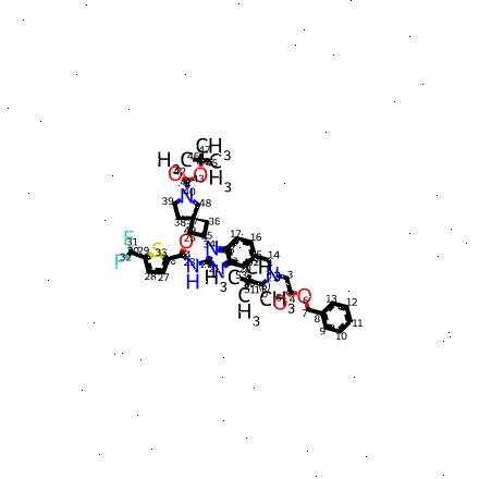 C[C@H](N(CC(=O)OCc1ccccc1)Cc1ccc2c(c1)nc(NC(=O)c1ccc(C(F)F)s1)n2[C@H]1C[C@]2(CCN(C(=O)OC(C)(C)C)C2)C1)C(C)(C)C